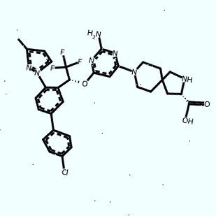 Cc1ccn(-c2ccc(-c3ccc(Cl)cc3)cc2[C@@H](Oc2cc(N3CCC4(CC3)CN[C@H](C(=O)O)C4)nc(N)n2)C(F)(F)F)n1